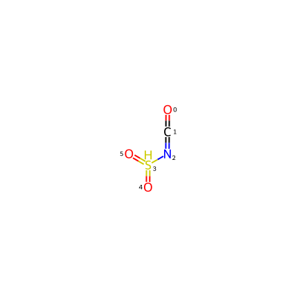 O=C=N[SH](=O)=O